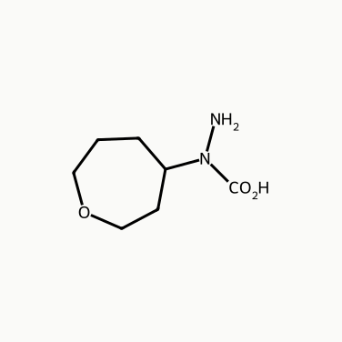 NN(C(=O)O)C1CCCOCC1